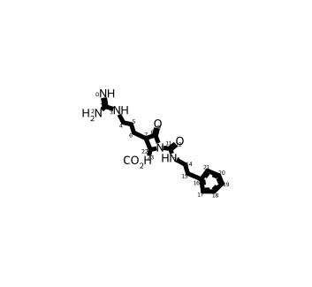 N=C(N)NCCCC1C(=O)N(C(=O)NCCc2ccccc2)C1C(=O)O